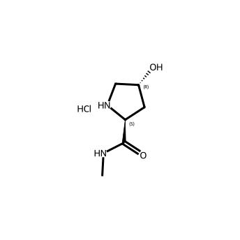 CNC(=O)[C@@H]1C[C@@H](O)CN1.Cl